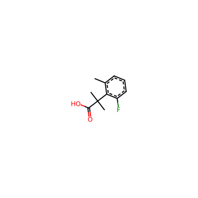 Cc1cccc(F)c1C(C)(C)C(=O)O